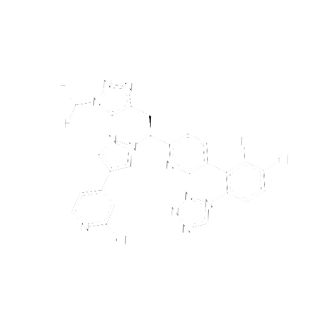 Fc1c(Cl)ccc(-n2cnnn2)c1-c1ccc([C@H](Cc2cn(C(F)F)nn2)n2cc(-c3ccnc(C(F)(F)F)c3)cn2)nc1